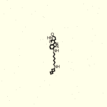 Cn1nc(C2CCC(=O)NC2=O)c2cccc(NCCCCCCCNC3CC4(CCC4)C3)c21